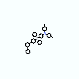 Cc1ccc(N(c2ccc(C)cc2)c2ccc([Si](c3ccccc3)(c3ccccc3)c3ccc(-c4cccc(-c5ccccc5)c4)cc3)cc2)cc1